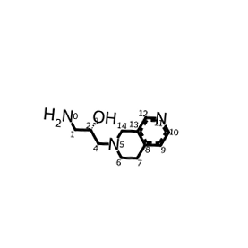 NC[C@H](O)CN1CCc2ccncc2C1